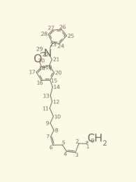 C=CC/C=C\C/C=C\CCCCCCCc1ccc2c(c1)CN(c1ccccc1)CO2